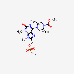 CCn1c(COS(C)(=O)=O)nc2c(N3C[C@@H](C)N(C(=O)OC(C)(C)C)C[C@@H]3C)nc(=O)n(C)c21